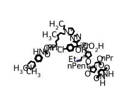 C=CC[N+]1(CCC(C)CCCC(C)C)CCCCC1.CC(C)C(O)(c1ccc(Cl)cc1)c1cncnc1.CC(C)OC(=O)Nc1ccccc1.CC/C=C\C[C@H]1C(=O)CC[C@@H]1CC(=O)O.CCCCC[C@H]1C(=O)CC[C@@H]1CC(=O)OCCC.C[N+]1(C)CCCCC1.O=c1ccc(=O)[nH][nH]1